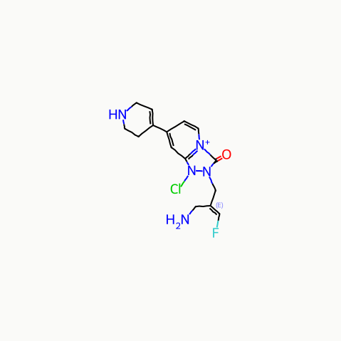 NC/C(=C\F)Cn1c(=O)[n+]2ccc(C3=CCNCC3)cc2n1Cl